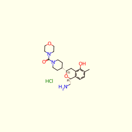 Cc1ccc2c(c1O)C[C@@H](C1CCN(C(=O)N3CCOCC3)CC1)O[C@H]2CN.Cl